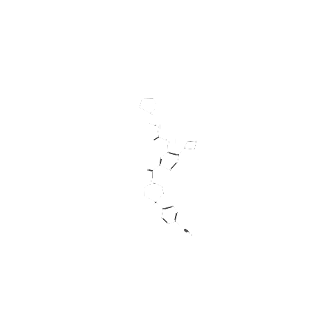 N#Cc1ccc(C2(F)CCN(C(=O)c3ccc(C4CCC4)c(NC(=O)NC[C@@H]4CCCO4)c3)CC2)cc1